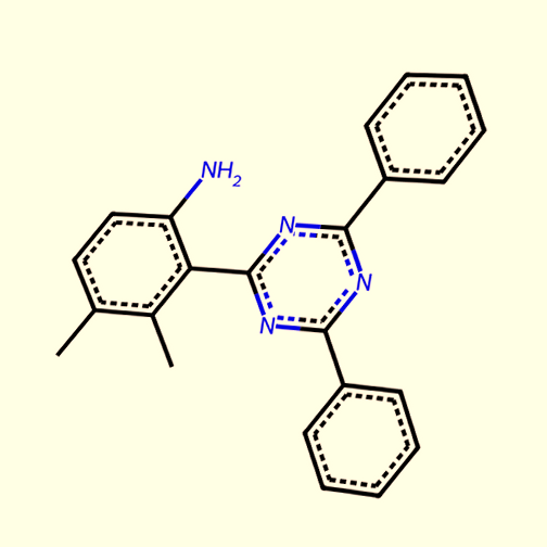 Cc1ccc(N)c(-c2nc(-c3ccccc3)nc(-c3ccccc3)n2)c1C